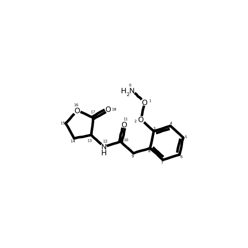 NOOc1ccccc1CC(=O)NC1CCOC1=O